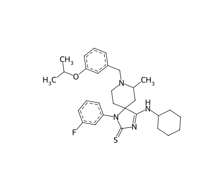 CC(C)Oc1cccc(CN2CCC3(CC2C)C(NC2CCCCC2)=NC(=S)N3c2cccc(F)c2)c1